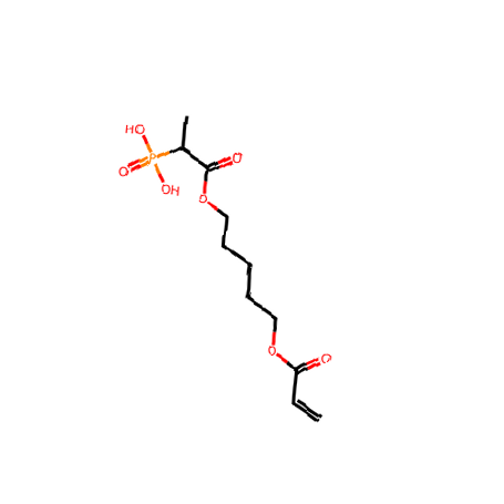 C=CC(=O)OCCCCCOC(=O)C(C)P(=O)(O)O